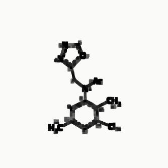 CC(=O)N(Cc1nnco1)c1cc(C)cc(Cl)c1C